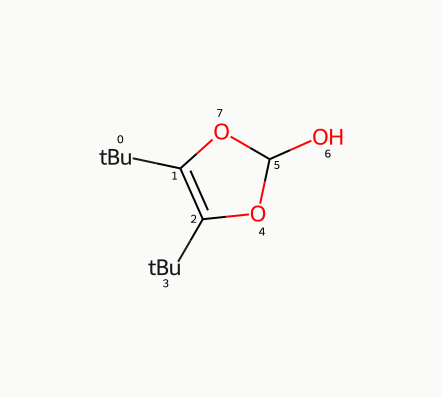 CC(C)(C)C1=C(C(C)(C)C)OC(O)O1